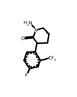 NN1CCCC(c2ccc(F)cc2C(F)(F)F)C1=O